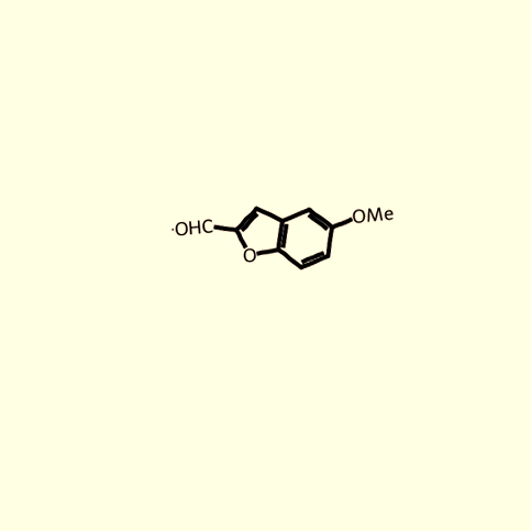 COc1ccc2oc([C]=O)cc2c1